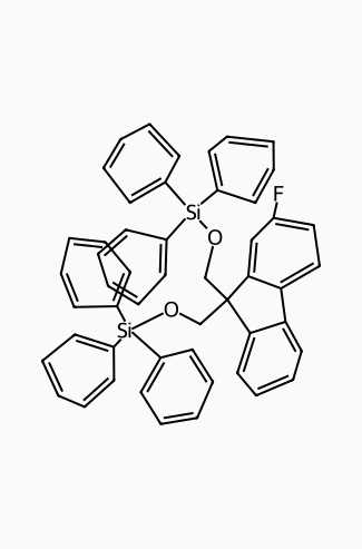 Fc1ccc2c(c1)C(CO[Si](c1ccccc1)(c1ccccc1)c1ccccc1)(CO[Si](c1ccccc1)(c1ccccc1)c1ccccc1)c1ccccc1-2